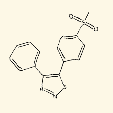 CS(=O)(=O)c1ccc(-c2snnc2-c2ccccc2)cc1